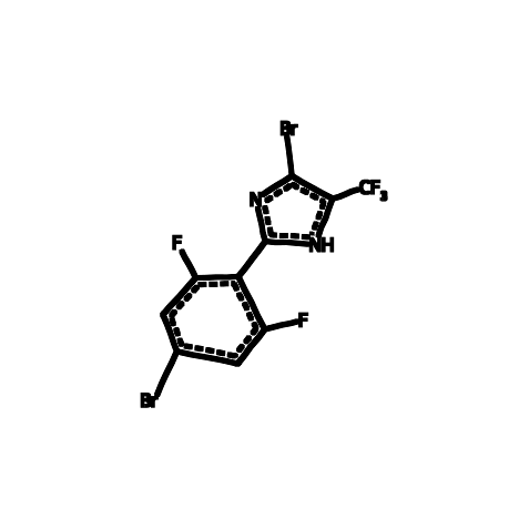 Fc1cc(Br)cc(F)c1-c1nc(Br)c(C(F)(F)F)[nH]1